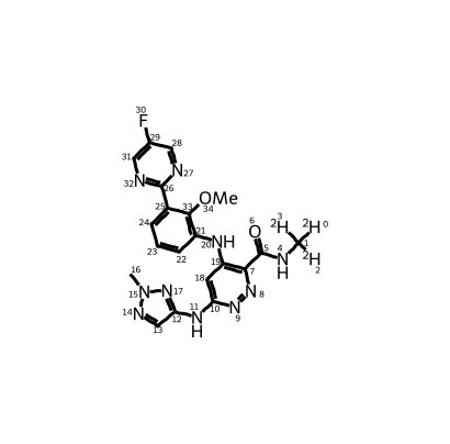 [2H]C([2H])([2H])NC(=O)c1nnc(Nc2cnn(C)n2)cc1Nc1cccc(-c2ncc(F)cn2)c1OC